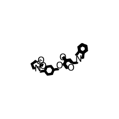 O=c1cc(CN2Cc3ccccc3C2)occ1OCC1CCC(CN2CCCS2(=O)=O)CC1